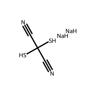 N#CC(S)(S)C#N.[NaH].[NaH]